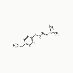 CCc1ccc(CON=CC(C)C)cc1